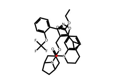 CCOC(=O)c1ccc2c(c1)N(C(=O)N1C3CCC1CC(OCc1c(-c4ccccc4OC(F)(F)F)noc1C1CC1)C3)CCC2